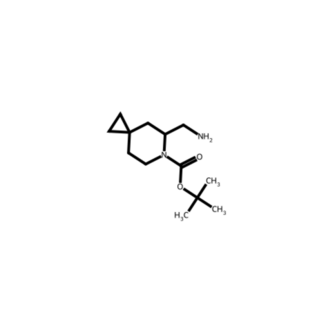 CC(C)(C)OC(=O)N1CCC2(CC2)CC1CN